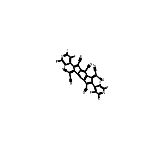 N#CC(C#N)=C1C(c2c(F)c(F)nc(F)c2F)=C(C#N)c2c1cc1c(c2C#N)C(=C(C#N)C#N)C(c2c(F)c(F)nc(F)c2F)=C1C#N